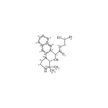 CCC(CC)COC(=O)C(C#N)c1nc2ccccc2nc1N1CCNC(C)(C)C1